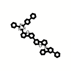 c1ccc(-c2ccc(-c3nc(-c4ccccc4)nc(-c4cccc5c4oc4ccc(-c6ccc7oc8c(-n9c%10ccccc%10c%10cc(-c%11ccccc%11)ccc%109)cccc8c7c6)cc45)n3)cc2)cc1